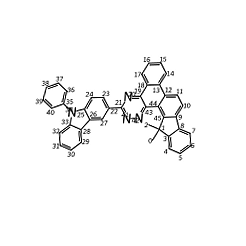 CC1(C)c2ccccc2-c2ccc3c4ccccc4c4nc(-c5ccc6c(c5)c5ccccc5n6-c5ccccc5)nnc4c3c21